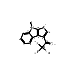 Cn1c2ccccc2c2c(C(=O)C(F)(F)F)csc21